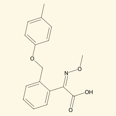 CON=C(C(=O)O)c1ccccc1COc1ccc(C)cc1